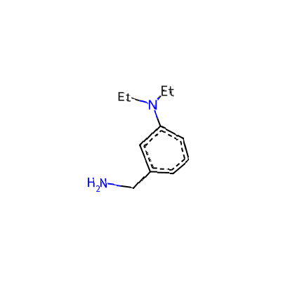 CCN(CC)c1cccc(CN)c1